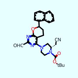 CC(C)(C)OC(=O)N1CCN(c2nc(C=O)nc3c2CCC(c2cccc4ccccc24)O3)C[C@@H]1CC#N